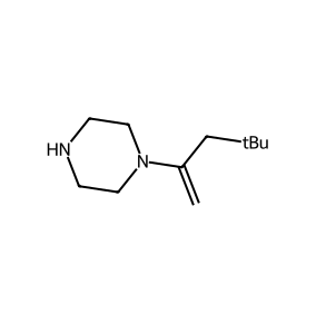 C=C(CC(C)(C)C)N1CCNCC1